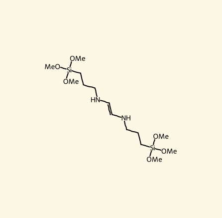 CO[Si](CCCN/C=C/NCCC[Si](OC)(OC)OC)(OC)OC